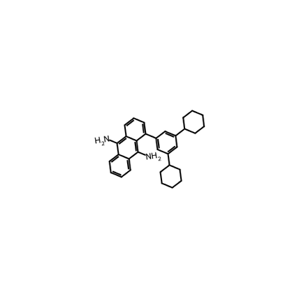 Nc1c2ccccc2c(N)c2c(-c3cc(C4CCCCC4)cc(C4CCCCC4)c3)cccc12